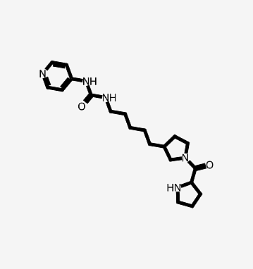 O=C(NCCCCCC1CCN(C(=O)C2CCCN2)C1)Nc1ccncc1